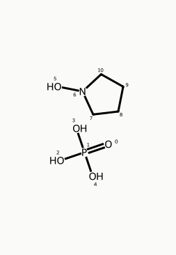 O=P(O)(O)O.ON1CCCC1